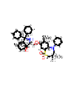 CCCC[C@@]1(CC)CN(c2ccccc2)c2cc(SC)c(OC[C@@H](NC(c3ccccc3)(c3ccccc3)c3ccccc3)C(=O)OC)cc2S(=O)(=O)C1